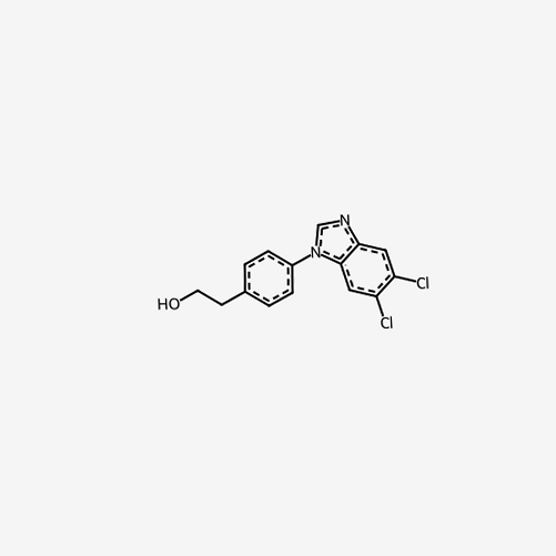 OCCc1ccc(-n2cnc3cc(Cl)c(Cl)cc32)cc1